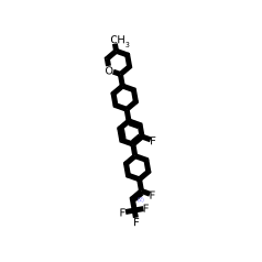 CC1CCC(C2CCC(c3ccc(C4CCC(/C(F)=C/C(F)(F)F)CC4)c(F)c3)CC2)OC1